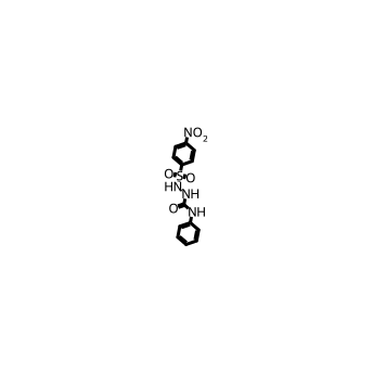 O=C(NNS(=O)(=O)c1ccc([N+](=O)[O-])cc1)Nc1ccccc1